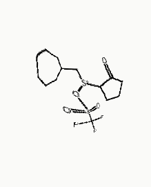 O=C1CCCC1[S+](CC1CCCCCC1)OS(=O)(=O)C(F)(F)F